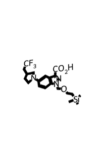 C[Si](C)(C)CCOCn1nc(C(=O)O)c2cc(N3CCC(CC(F)(F)F)C3)ccc21